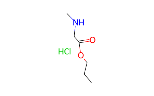 CCCOC(=O)CNC.Cl